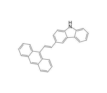 C(=Cc1c2ccccc2cc2ccccc12)c1ccc2[nH]c3ccccc3c2c1